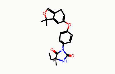 CC[C@@]1(C)NC(=O)N(c2ccc(OC3=CCC4=COC(C)(C)C4=C3)cc2)C1=O